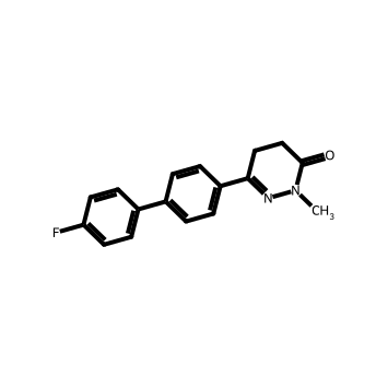 CN1N=C(c2ccc(-c3ccc(F)cc3)cc2)CCC1=O